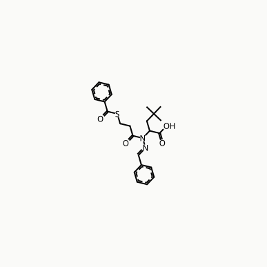 CC(C)(C)CC(C(=O)O)N(N=Cc1ccccc1)C(=O)CCSC(=O)c1ccccc1